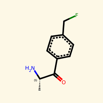 C[C@H](N)C(=O)c1ccc(CF)cc1